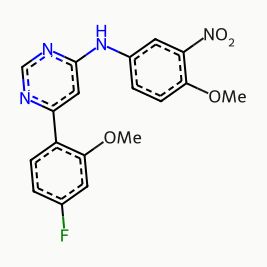 COc1cc(F)ccc1-c1cc(Nc2ccc(OC)c([N+](=O)[O-])c2)ncn1